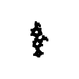 Cc1ccc(N2CCN(C3COC3)C[C@@H]2C)cc1